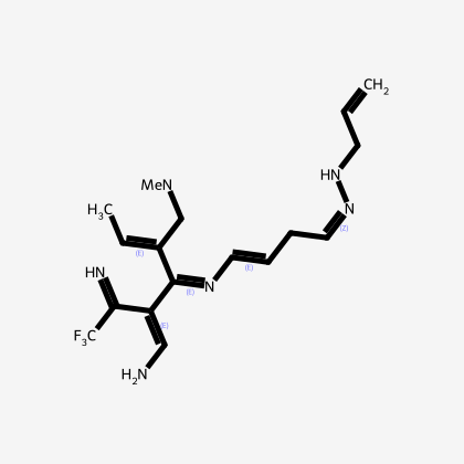 C=CCN/N=C\C/C=C/N=C(C(=C\C)\CNC)/C(=C/N)C(=N)C(F)(F)F